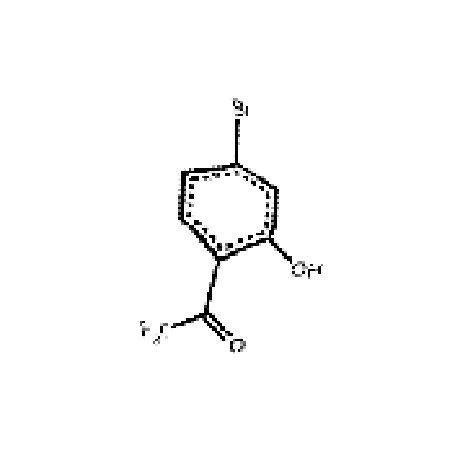 O=C(c1ccc(Br)cc1O)C(F)(F)F